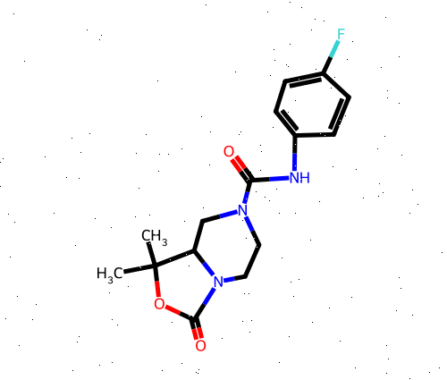 CC1(C)OC(=O)N2CCN(C(=O)Nc3ccc(F)cc3)CC21